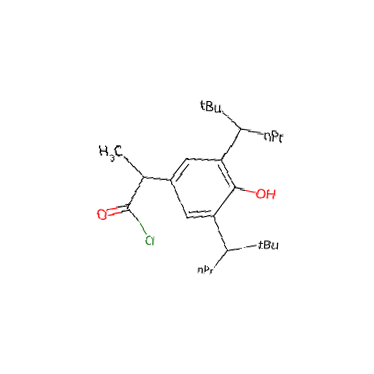 CCCC(c1cc(C(C)C(=O)Cl)cc(C(CCC)C(C)(C)C)c1O)C(C)(C)C